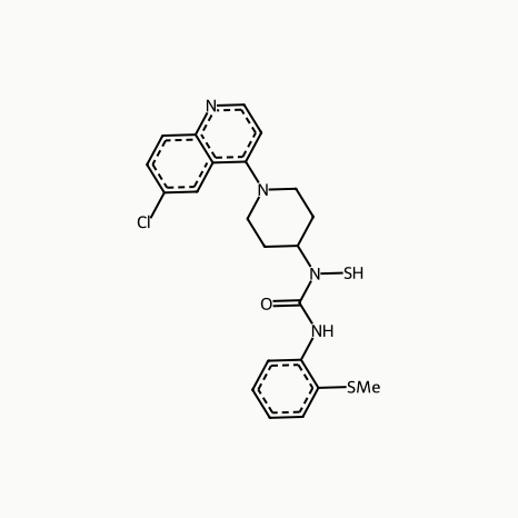 CSc1ccccc1NC(=O)N(S)C1CCN(c2ccnc3ccc(Cl)cc23)CC1